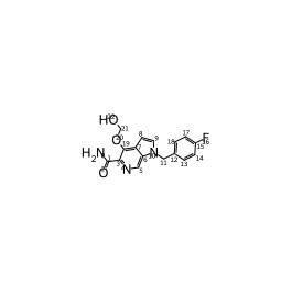 NC(=O)c1ncc2c(ccn2Cc2ccc(F)cc2)c1OCO